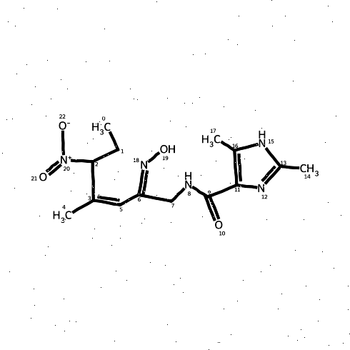 CCC(C(C)=CC(CNC(=O)c1nc(C)[nH]c1C)=NO)[N+](=O)[O-]